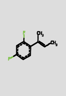 C/C=C(\C)c1ccc(F)cc1F